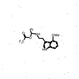 COc1cccc2[nH]cc(CCNC(OC(=O)C(F)(F)F)C(C)C)c12